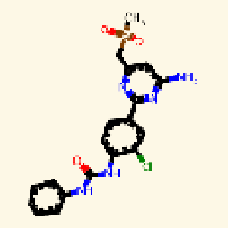 CS(=O)(=O)Cc1cc(N)nc(-c2ccc(NC(=O)Nc3ccccc3)c(Cl)c2)n1